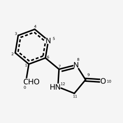 O=Cc1cccnc1C1=NC(=O)CN1